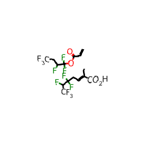 C=CC(=O)OC(F)(F)C(F)CC(F)(F)F.CC(=CCC(F)(F)C(F)C(F)(F)F)C(=O)O